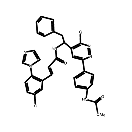 COC(=O)Nc1ccc(-c2cc(C(Cc3ccccc3)NC(=O)C=Cc3cc(Cl)ccc3-n3ccnc3)c(Cl)nn2)cc1